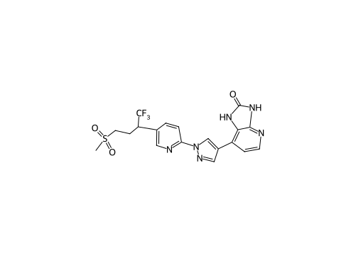 CS(=O)(=O)CCC(c1ccc(-n2cc(-c3ccnc4[nH]c(=O)[nH]c34)cn2)nc1)C(F)(F)F